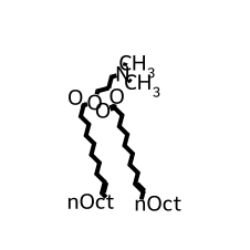 CCCCCCCCC=CCCCCCCCC(=O)OCC(CN(C)C)OC(=O)CCCCCCCC=CCCCCCCCC